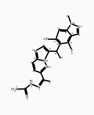 C/C(=N/NC(N)=O)c1ccc2ncc(C(C)c3c(F)cc4c(cnn4C)c3F)n2n1